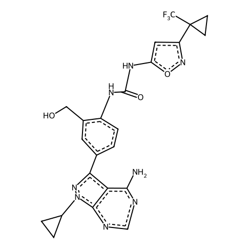 Nc1ncnc2c1c(-c1ccc(NC(=O)Nc3cc(C4(C(F)(F)F)CC4)no3)c(CO)c1)nn2C1CC1